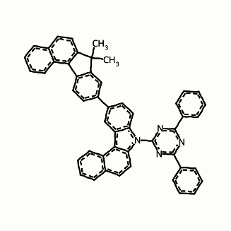 CC1(C)c2cc(-c3ccc4c(c3)c3c5ccccc5ccc3n4-c3nc(-c4ccccc4)nc(-c4ccccc4)n3)ccc2-c2c1ccc1ccccc21